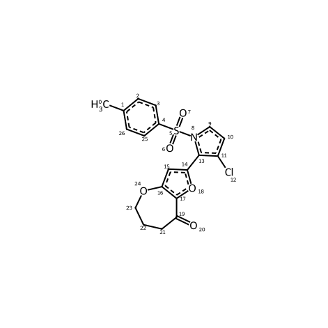 Cc1ccc(S(=O)(=O)n2ccc(Cl)c2-c2cc3c(o2)C(=O)CCCO3)cc1